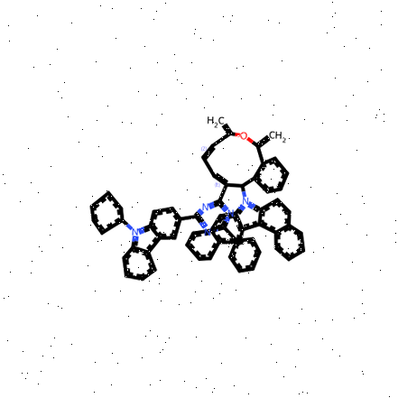 C=C1/C=C\C=C(\c2nc(-c3ccccc3)nc(-c3ccc4c(c3)c3ccccc3n4-c3ccccc3)n2)C(n2c3cc4ccccc4cc3c3c4ccccc4ccc32)c2ccccc2C(=C)O1